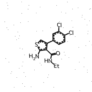 CCNC(=O)c1c(-c2ccc(Cl)c(Cl)c2)csc1N